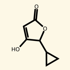 O=C1C=C(O)C(C2CC2)O1